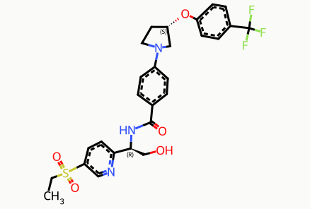 CCS(=O)(=O)c1ccc([C@H](CO)NC(=O)c2ccc(N3CC[C@H](Oc4ccc(C(F)(F)F)cc4)C3)cc2)nc1